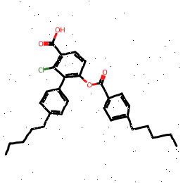 CCCCCc1ccc(C(=O)Oc2ccc(C(=O)O)c(Cl)c2-c2ccc(CCCCC)cc2)cc1